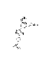 CCCCOCCC[C@@H](CC(=O)OC(C)(C)C)c1nnn([C@H]2C[C@@H](CC(C)(C)C(C)C)C2)c1I